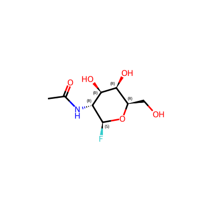 CC(=O)N[C@@H]1[C@@H](O)[C@@H](O)[C@@H](CO)O[C@H]1F